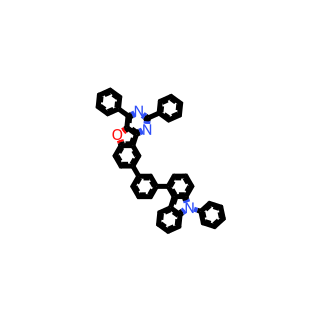 c1ccc(-c2nc(-c3ccccc3)c3oc4ccc(-c5cccc(-c6cccc7c6c6ccccc6n7-c6ccccc6)c5)cc4c3n2)cc1